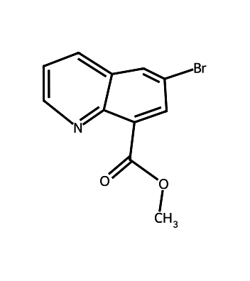 COC(=O)c1cc(Br)cc2cccnc12